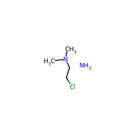 CN(C)CCCl.N